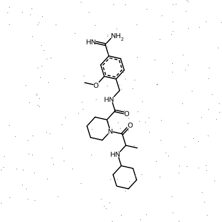 COc1cc(C(=N)N)ccc1CNC(=O)C1CCCCN1C(=O)C(C)NC1CCCCC1